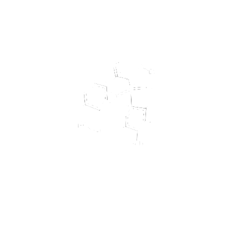 CCOC(C(=O)c1ccccc1)S(=O)(=O)c1ccc(C)cc1.CO